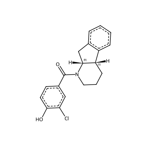 O=C(c1ccc(O)c(Cl)c1)N1CCC[C@H]2c3ccccc3C[C@H]21